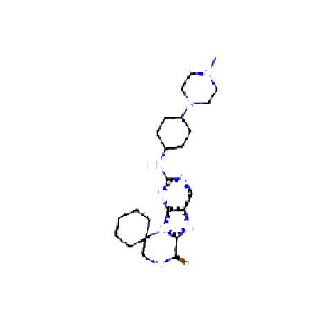 CN1CCN(C2CCC(Nc3ncc4nc5n(c4n3)C3(CCCCC3)CNC5=S)CC2)CC1